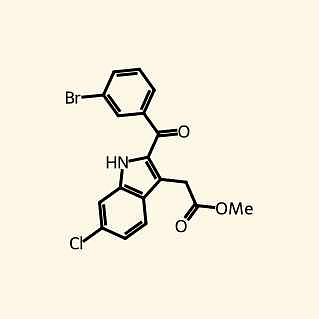 COC(=O)Cc1c(C(=O)c2cccc(Br)c2)[nH]c2cc(Cl)ccc12